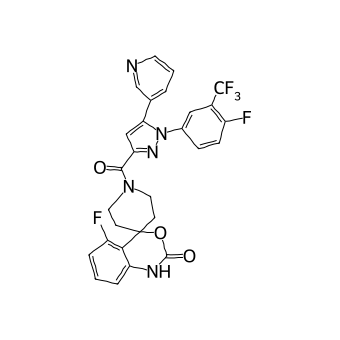 O=C1Nc2cccc(F)c2C2(CCN(C(=O)c3cc(-c4cccnc4)n(-c4ccc(F)c(C(F)(F)F)c4)n3)CC2)O1